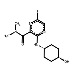 CN(C)C(=O)c1nc(I)cnc1N[C@H]1CC[C@H](O)CC1